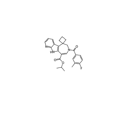 Cc1cc(C(=O)N2C=C(C(=O)OC(C)C)c3[nH]c4ncccc4c3C3(CCC3)C2)ccc1F